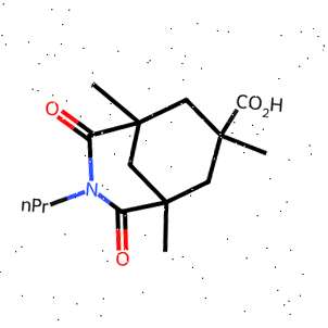 CCCN1C(=O)C2(C)CC(C)(C(=O)O)CC(C)(C2)C1=O